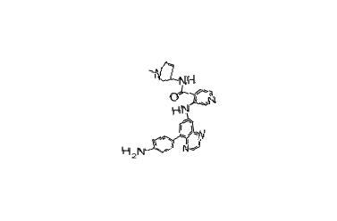 CN1CCC(NC(=O)c2ccncc2Nc2cc(-c3ccc(N)cc3)c3nccnc3c2)C1